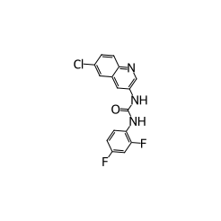 O=C(Nc1cnc2ccc(Cl)cc2c1)Nc1ccc(F)cc1F